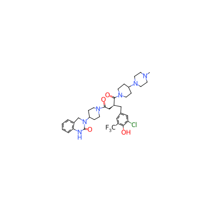 CN1CCN(C2CCN(C(=O)[C@H](CC(=O)N3CCC(N4Cc5ccccc5NC4=O)CC3)Cc3cc(Cl)c(O)c(C(F)(F)F)c3)CC2)CC1